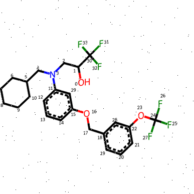 OC(CN(CC1CCCCC1)c1cccc(OCc2cccc(OC(F)(F)F)c2)c1)C(F)(F)F